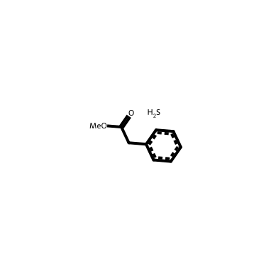 COC(=O)Cc1ccccc1.S